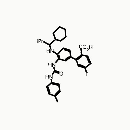 Cc1ccc(NC(=O)Nc2cc(-c3cc(F)ccc3C(=O)O)ccc2NC(C(C)C)C2CCCCC2)cc1